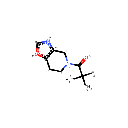 CCC(C)(C)C(=O)N1CCc2ocnc2C1